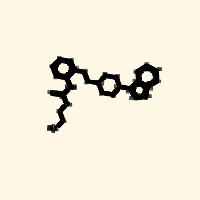 CCCOC(=O)Nc1ccccc1CCN1CCN(c2nsc3ccccc23)CC1